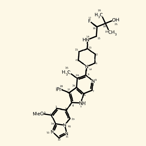 COc1cc(-c2[nH]c3cnc(N4CCC(NCC(F)C(C)(C)O)CC4)c(C)c3c2C(C)C)cn2ncnc12